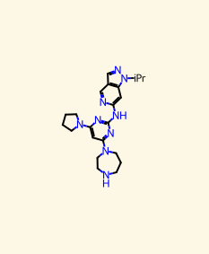 CC(C)n1ncc2cnc(Nc3nc(N4CCCC4)cc(N4CCCNCC4)n3)cc21